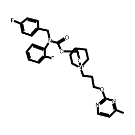 Cc1ccnc(OCCC[N+]23CCC(CC2)C(OC(=O)N(Cc2ccc(F)cc2)c2ccccc2F)C3)n1